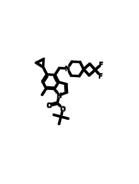 Cc1cc(C2CC2)c(CN2CCC3(CC2)CC(F)(F)C3)c2ccn(C(=O)OC(C)(C)C)c12